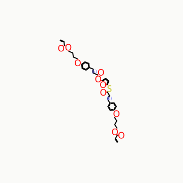 C=CC(=O)OCCCCOc1ccc(/C=C/C(=O)Oc2ccc(SC(=O)/C=C/c3ccc(OCCCCOC(=O)C=C)cc3)o2)cc1